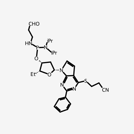 CC[C@H]1O[C@@H](n2ccc3c(SCCC#N)nc(-c4ccccc4)nc32)C[C@H]1OP(NCCC=O)N(C(C)C)C(C)C